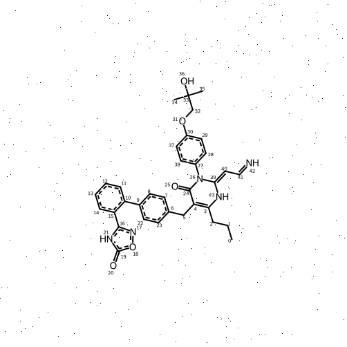 CCCC1=C(Cc2ccc(-c3ccccc3-c3noc(=O)[nH]3)cc2)C(=O)N(c2ccc(OCC(C)(C)O)cc2)/C(=C/C=N)N1